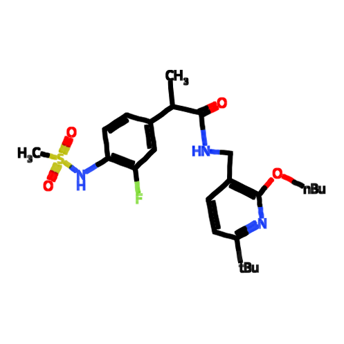 CCCCOc1nc(C(C)(C)C)ccc1CNC(=O)C(C)c1ccc(NS(C)(=O)=O)c(F)c1